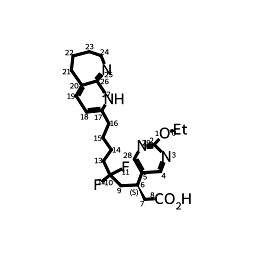 CCOc1ncc([C@@H](CC(=O)O)CC(F)(F)CCCCC2=CC=C3CCCCN=C3N2)cn1